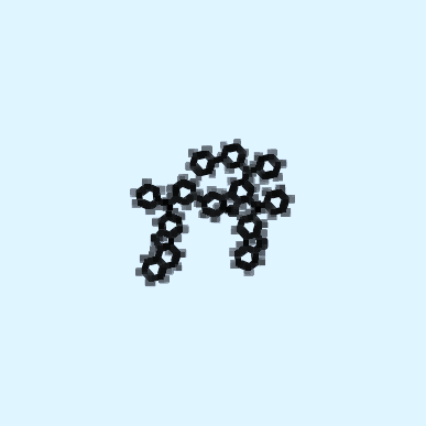 c1ccc(-c2cccc(N(c3ccccc3)c3cc(N(c4ccccc4)c4ccc5c(c4)oc4ccccc45)c4oc5ccc(-c6cccc(N(c7ccccc7)c7ccc8c(c7)sc7c9ccccc9ccc87)c6)cc5c4c3)c2)cc1